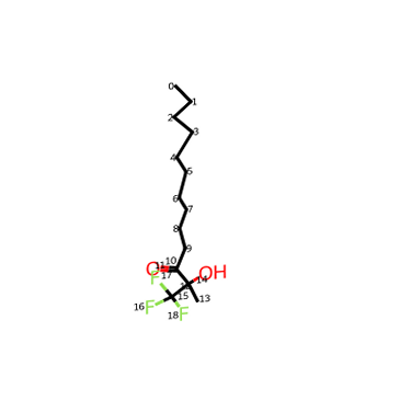 CCCCCCCCCCC(=O)C(C)(O)C(F)(F)F